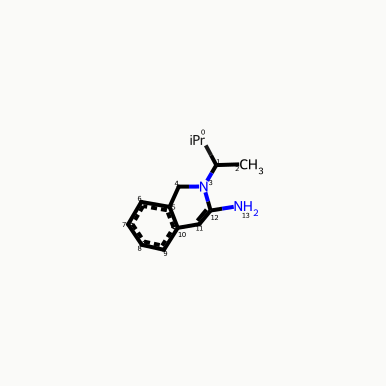 CC(C)C(C)N1Cc2ccccc2C=C1N